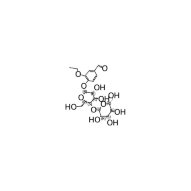 CCOc1cc(C=O)ccc1O[C@H]1O[C@H](CO)[C@@H](O[C@@H]2O[C@H](CO)[C@@H](O)[C@H](O)[C@H]2O)[C@H](O)[C@H]1O